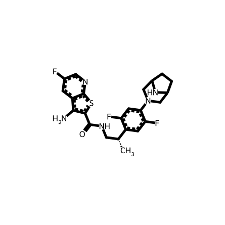 C[C@H](CNC(=O)c1sc2ncc(F)cc2c1N)c1cc(F)c(N2CC3CCC(C2)N3)cc1F